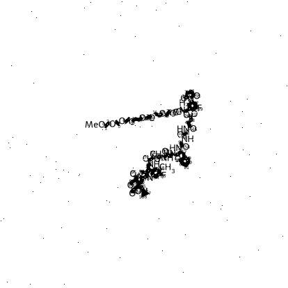 COCCOCCOCCOCCOCCOCCOCCOCCNC(=O)c1cc(N2C(=O)C=CC2=O)cc(F)c1OCCCC(=O)NCC(=O)NCC(=O)N[C@@H](Cc1ccccc1)C(=O)NCC(=O)NCO[C@H](C)C(=O)NCc1c2c(nc3cc(F)c(C)cc13)-c1cc3c(c(=O)n1C2)COC(=O)[C@]3(O)CC1CC1